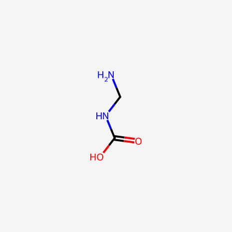 NCNC(=O)O